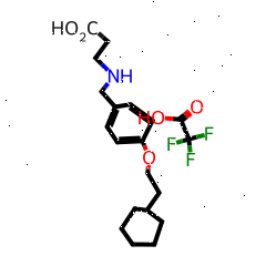 O=C(O)C(F)(F)F.O=C(O)CCNCc1ccc(OCCC2CCCCC2)cc1